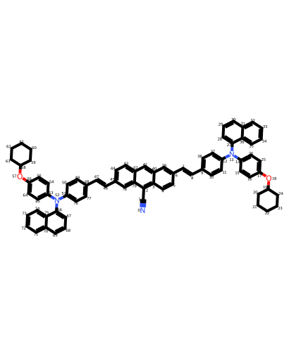 N#Cc1c2ccc(C=Cc3ccc(N(c4ccc(OC5CCCCC5)cc4)c4cccc5ccccc45)cc3)cc2cc2ccc(C=Cc3ccc(N(c4ccc(OC5CCCCC5)cc4)c4cccc5ccccc45)cc3)cc12